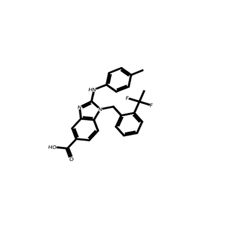 Cc1ccc(Nc2nc3cc(C(=O)O)ccc3n2Cc2ccccc2C(C)(F)F)cc1